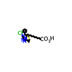 O=C(O)CCCCCCCCc1cc2c(s1)-n1c(nnc1C1CC1)CN=C2c1ccccc1Cl